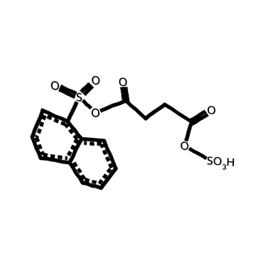 O=C(CCC(=O)OS(=O)(=O)c1cccc2ccccc12)OS(=O)(=O)O